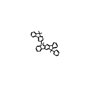 CC1(C)c2ccccc2-c2cc(-n3c4ccccc4c4cc5c(cc43)-c3ccccc3C5(C)c3ccccc3)ccc21